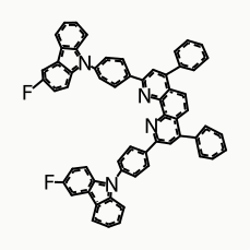 Fc1ccc2c(c1)c1ccccc1n2-c1ccc(-c2cc(-c3ccccc3)c3ccc4c(-c5ccccc5)cc(-c5ccc(-n6c7ccccc7c7cc(F)ccc76)cc5)nc4c3n2)cc1